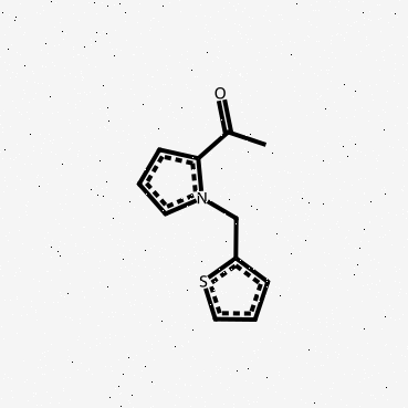 CC(=O)c1cccn1Cc1cccs1